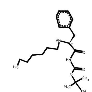 CC(C)(C)OC(=O)NC(=O)[C@H](Cc1ccccc1)NCCCCCCO